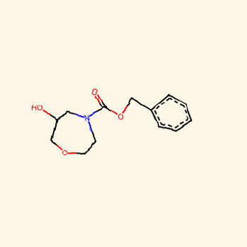 O=C(OCc1ccccc1)N1CCOCC(O)C1